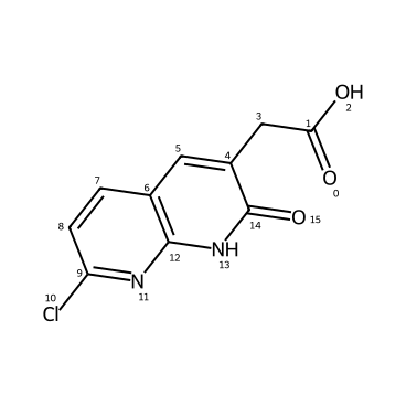 O=C(O)Cc1cc2ccc(Cl)nc2[nH]c1=O